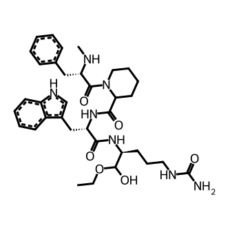 CCOC(O)[C@H](CCCNC(N)=O)NC(=O)[C@H](Cc1c[nH]c2ccccc12)NC(=O)C1CCCCN1C(=O)[C@H](Cc1ccccc1)NC